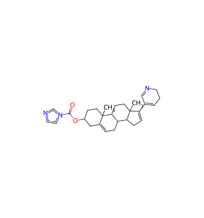 CC12CCC(OC(=O)n3ccnc3)CC1=CCC1C2CCC2(C)C(C3=CCCN=C3)=CCC12